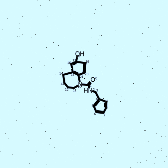 O=C(NCc1ccccc1)N1CCCCc2cc(O)ccc21